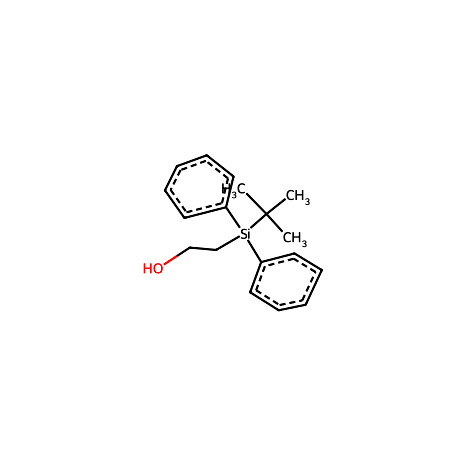 CC(C)(C)[Si](CCO)(c1ccccc1)c1ccccc1